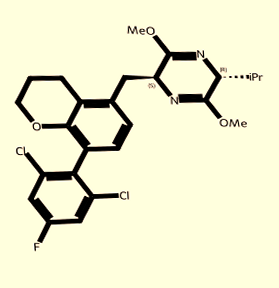 COC1=N[C@H](C(C)C)C(OC)=N[C@H]1Cc1ccc(-c2c(Cl)cc(F)cc2Cl)c2c1CCCO2